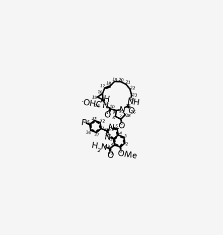 COc1ccc2c(OC3CC4C(=O)NC5([C]=O)CC5/C=C/CCCCCNC(=O)N4C3)nc(-c3ccc(F)cc3)nc2c1C(N)=O